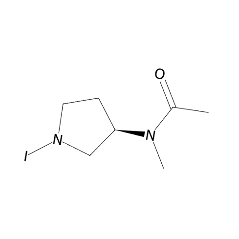 CC(=O)N(C)[C@@H]1CCN(I)C1